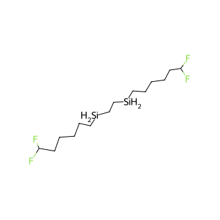 FC(F)CCCCC[SiH2]CC[SiH2]CCCCCC(F)F